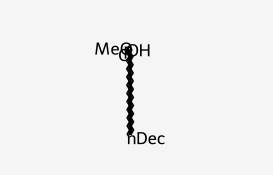 CCCCCCCCCCCCCCCCCCCCCCCCCCCCCCP(=O)(O)OC